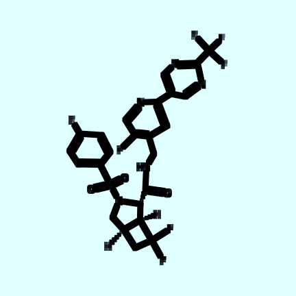 O=C(NCc1cc(-c2cnc(C(F)(F)F)nc2)ncc1F)[C@@H]1[C@@H]2[C@H](CN1S(=O)(=O)c1ccc(F)cc1)CC2(F)F